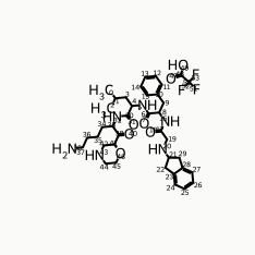 CC(C)CC(NC(=O)C(Cc1ccccc1)NC(=O)CNC1Cc2ccccc2C1)C(=O)NC(CCCCN)C(=O)C1CNCCO1.O=C(O)C(F)(F)F